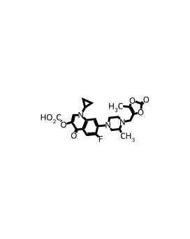 Cc1oc(=O)oc1CN1CCN(c2cc3c(cc2F)c(=O)c(OC(=O)O)cn3C2CC2)CC1C